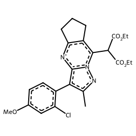 CCOC(=O)C(C(=O)OCC)c1c2c(nc3c(-c4ccc(OC)cc4Cl)c(C)nn13)CCC2